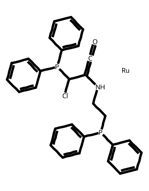 O=C=C(NCCP(c1ccccc1)c1ccccc1)C(Cl)P(c1ccccc1)c1ccccc1.[Ru]